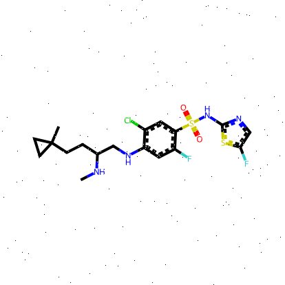 CNC(CCC1(C)CC1)CNc1cc(F)c(S(=O)(=O)Nc2ncc(F)s2)cc1Cl